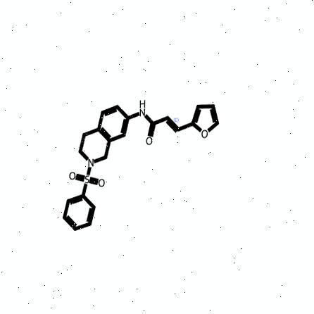 O=C(/C=C/c1ccco1)Nc1ccc2c(c1)CN(S(=O)(=O)c1ccccc1)CC2